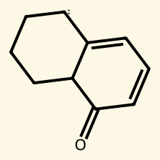 O=C1C=CC=C2[C]CCCC12